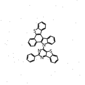 c1ccc(-c2nc(-n3c4ccccc4c4c5c6ccccc6sc5c5ccccc5c43)c3sc4ccccc4c3n2)cc1